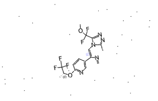 C=N/C(=C\n1c(C)nnc1C(F)(F)OC)c1ccc(O[C@H](C)C(F)(F)F)nc1